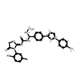 Cc1ccc(C(C)C)c(N2C(=O)CS/C2=N\C(=S)NC(NC(=O)O)c2ccc(-c3ncn(-c4ccc(C(F)(F)F)cc4)n3)cc2)c1